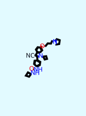 N#Cc1c(-c2ccc(NC(=O)NC3CCC3)cc2)n(C2CCC2)c2cc(OCCCCN3CCCC3)ccc12